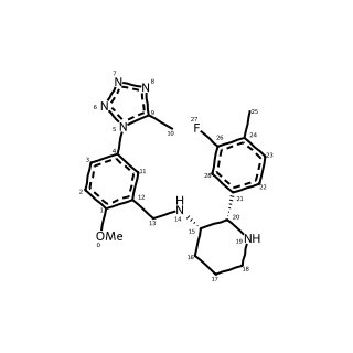 COc1ccc(-n2nnnc2C)cc1CN[C@H]1CCCN[C@H]1c1ccc(C)c(F)c1